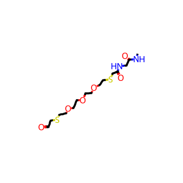 CNC(=O)CNC(=O)CSCCOCCOCCOCCSCC=O